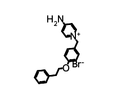 Nc1cc[n+](Cc2ccc(OCCc3ccccc3)cc2)cc1.[Br-]